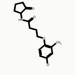 Cc1cc(Cl)ccc1OCCCC(=O)NC1CCCC1=O